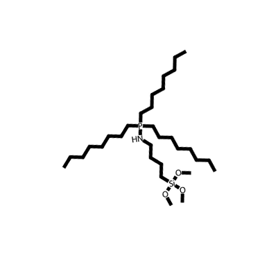 CCCCCCCC[P](CCCCCCCC)(CCCCCCCC)NCCCC[Si](OC)(OC)OC